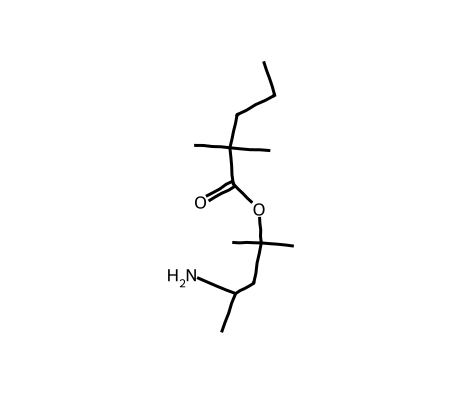 CCCC(C)(C)C(=O)OC(C)(C)CC(C)N